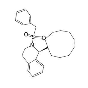 O=S(=O)(Cc1ccccc1)N1CCc2ccccc2[C@@H]1C1CCCCCCCCC1